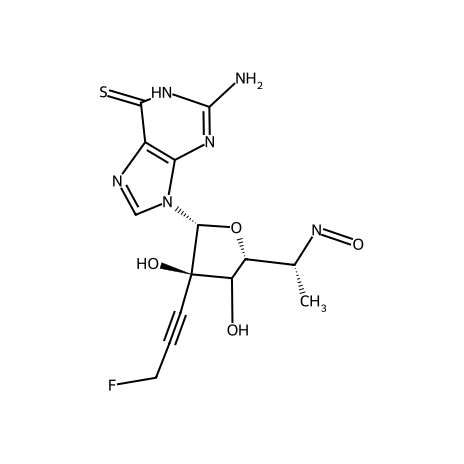 C[C@@H](N=O)[C@H]1O[C@@H](n2cnc3c(=S)[nH]c(N)nc32)[C@@](O)(C#CCF)C1O